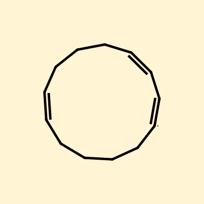 [C]1=CC=CCCCC=CCCCC1